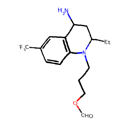 CCC1CC(N)c2cc(C(F)(F)F)ccc2N1CCCOC=O